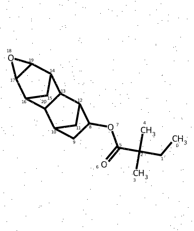 CCC(C)(C)C(=O)OC1CC2CC1C1C3CC(C4OC34)C21